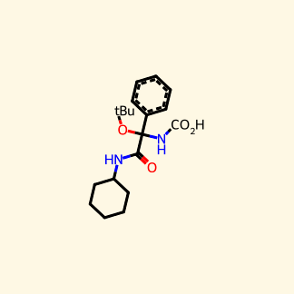 CC(C)(C)OC(NC(=O)O)(C(=O)NC1CCCCC1)c1ccccc1